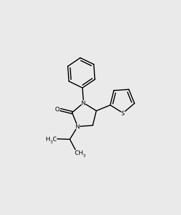 CC(C)N1CC(c2cccs2)N(c2ccccc2)C1=O